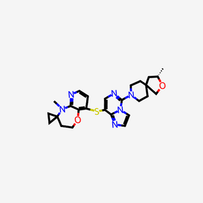 C[C@H]1CC2(CCN(c3ncc(Sc4ccnc5c4OCCC4(CC4)N5C)c4nccn34)CC2)CO1